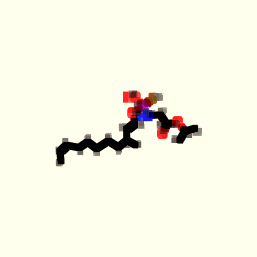 C/C=C\CCCCCC(C)/C=C/OP(O)(=S)NCC(=O)OC(C)C